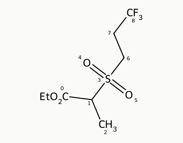 CCOC(=O)C(C)S(=O)(=O)CCC(F)(F)F